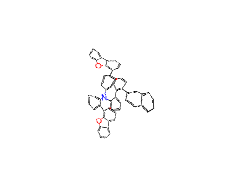 C1=C=C(N(c2ccccc2C2=C(c3ccc4ccccc4c3)C=CCC2)c2ccccc2-c2cccc3c2oc2ccccc23)C=CC=1c1cccc2c1oc1ccccc12